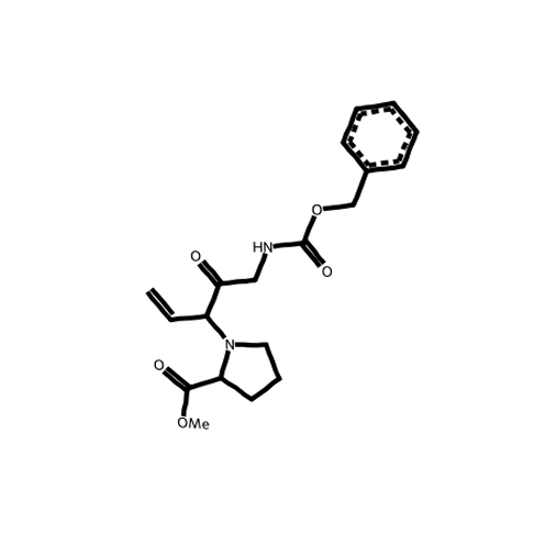 C=CC(C(=O)CNC(=O)OCc1ccccc1)N1CCCC1C(=O)OC